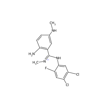 C/N=C(/Nc1cc(Cl)c(Cl)cc1F)c1cc(NC)ccc1N